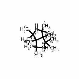 CC1(C)NC(C)(C)C2(C)C(C)(C)NC(C)(C)C12C